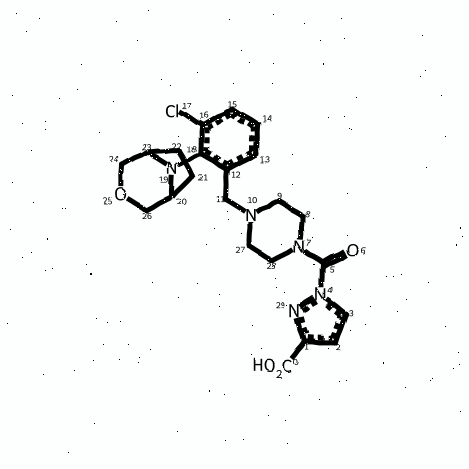 O=C(O)c1ccn(C(=O)N2CCN(Cc3cccc(Cl)c3N3C4CCC3COC4)CC2)n1